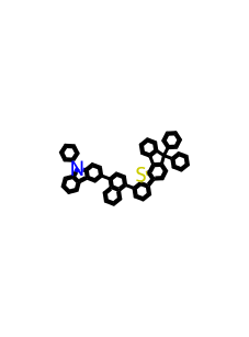 c1ccc(-n2c3ccccc3c3cc(-c4ccc(-c5cccc6c5sc5c7c(ccc56)C(c5ccccc5)(c5ccccc5)c5ccccc5-7)c5ccccc45)ccc32)cc1